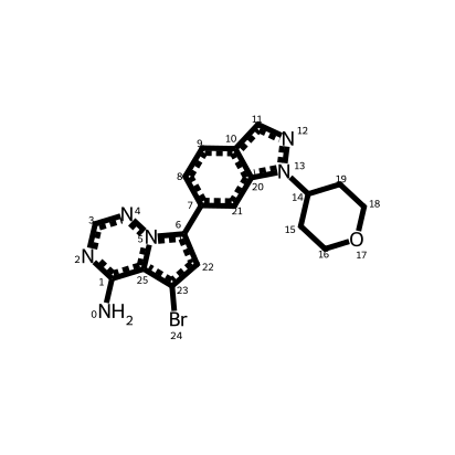 Nc1ncnn2c(-c3ccc4cnn(C5CCOCC5)c4c3)cc(Br)c12